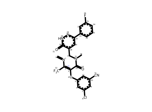 C=N/C(=C(/Oc1cc(Cl)cc(C#N)c1)C(=O)N(C)Cc1cc(-c2cccc(F)c2)n[nH]c1=O)C(F)(F)F